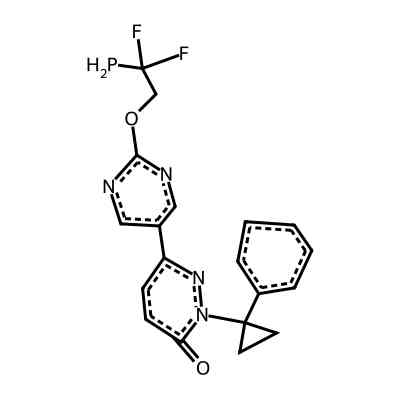 O=c1ccc(-c2cnc(OCC(F)(F)P)nc2)nn1C1(c2ccccc2)CC1